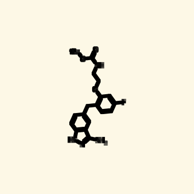 CC(C)(C)OC(=O)NCCOc1cc(F)ccc1Cc1ccc2[nH]nc(N)c2c1